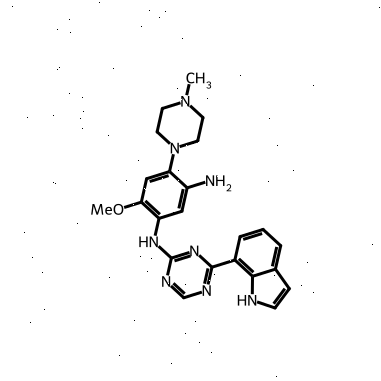 COc1cc(N2CCN(C)CC2)c(N)cc1Nc1ncnc(-c2cccc3cc[nH]c23)n1